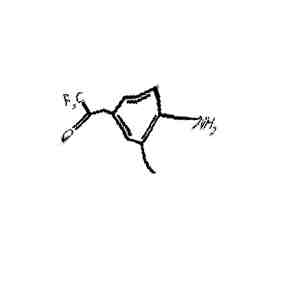 Cc1cc(C(=O)C(F)(F)F)ccc1N